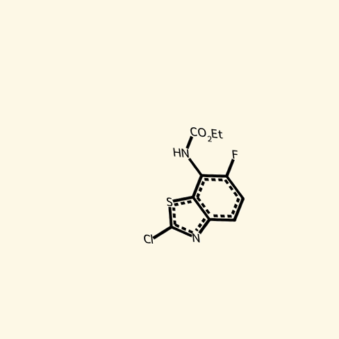 CCOC(=O)Nc1c(F)ccc2nc(Cl)sc12